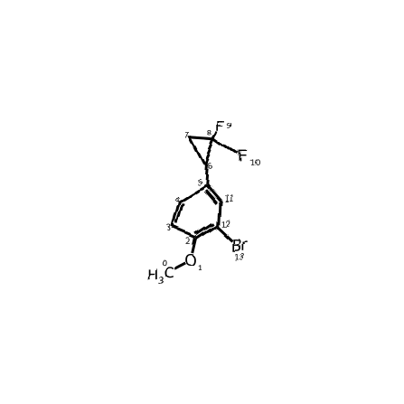 COc1ccc(C2CC2(F)F)cc1Br